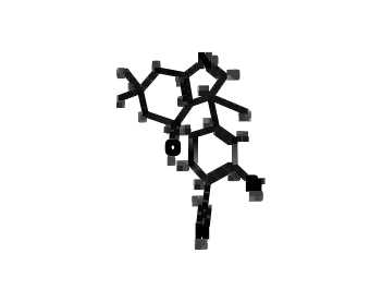 CC1(C)CC(=O)C2=C(C1)N=CC2(C)c1ccc(C#N)c(Br)c1